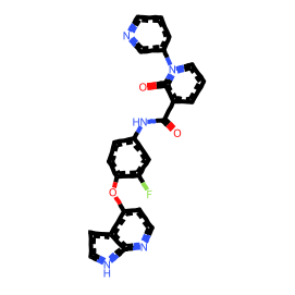 O=C(Nc1ccc(Oc2ccnc3[nH]ccc23)c(F)c1)c1cccn(-c2cccnc2)c1=O